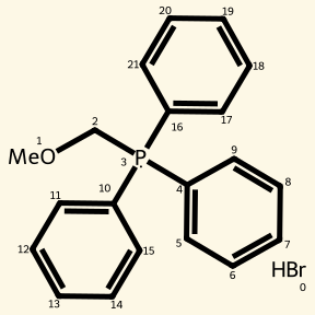 Br.COC[P](c1ccccc1)(c1ccccc1)c1ccccc1